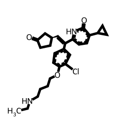 CCNCCCCOc1ccc(/C(=C\[C@H]2CCC(=O)C2)c2ccc(C3CC3)c(=O)[nH]2)cc1Cl